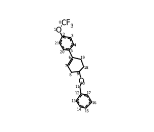 FC(F)(F)Oc1ccc(C2=CCC(OCc3ccccc3)CC2)cc1